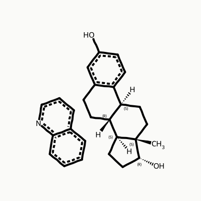 C[C@]12CC[C@@H]3c4ccc(O)cc4CC[C@H]3[C@@H]1CC[C@H]2O.c1ccc2ncccc2c1